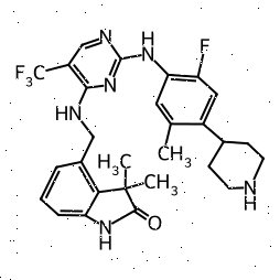 Cc1cc(Nc2ncc(C(F)(F)F)c(NCc3cccc4c3C(C)(C)C(=O)N4)n2)c(F)cc1C1CCNCC1